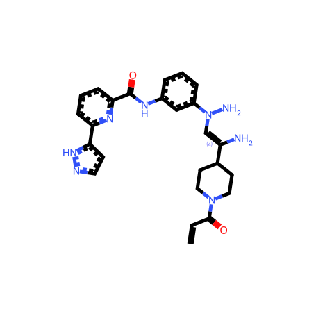 C=CC(=O)N1CCC(/C(N)=C/N(N)c2cccc(NC(=O)c3cccc(-c4ccn[nH]4)n3)c2)CC1